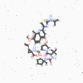 C=C[C@@H]1C[C@]1(NC(=O)[C@@H]1C[C@@H](Oc2cc(-c3csc(NC(C)C)n3)nc3c(C)c(OC)ccc23)CN1C(=O)[C@@H](NC(=O)NC1(C)CCCC1)C(C)(C)C)C(=O)O